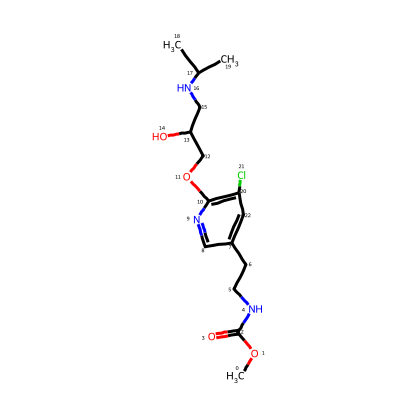 COC(=O)NCCc1cnc(OCC(O)CNC(C)C)c(Cl)c1